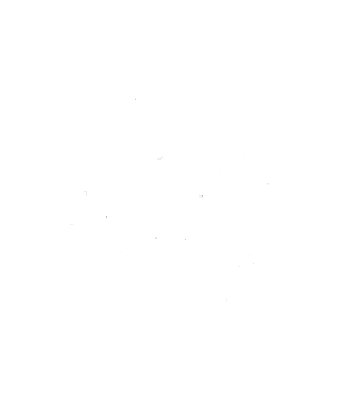 CC(C)CCCCCC(=O)O.CC(C)CCCCCC(=O)O.OCC1CCC(CO)O1